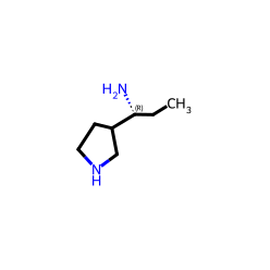 CC[C@@H](N)C1CCNC1